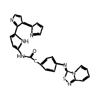 O=C(Cc1ccc(N=c2snc3ccccn23)cc1)Nc1ccc(C2=NC=CC2=C2C=CC=N2)[nH]1